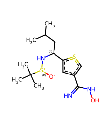 CC(C)C[C@H](N[S@@+]([O-])C(C)(C)C)c1cc(C(=N)NO)cs1